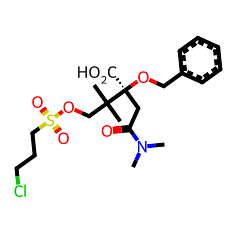 CN(C)C(=O)C[C@@](OCc1ccccc1)(C(=O)O)C(C)(C)COS(=O)(=O)CCCCl